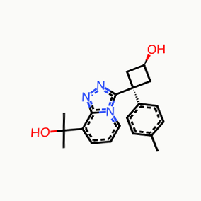 Cc1ccc([C@]2(c3nnc4c(C(C)(C)O)cccn43)C[C@@H](O)C2)cc1